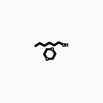 C1COCCO1.CCCCCCO